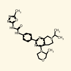 Cc1nnc(NC(=O)Nc2ccc(-c3nc4c(c(N5CCOCC5C)n3)CCN(C(C)C)C4)cc2)o1